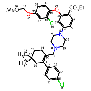 CCOC(=O)c1ccc(N2CCN(CC3=C(c4ccc(Cl)cc4)CC(C)(C)CC3)CC2)cc1Oc1ccc(OCOC)cc1Cl